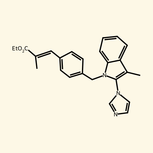 CCOC(=O)/C(C)=C/c1ccc(Cn2c(-n3ccnc3)c(C)c3ccccc32)cc1